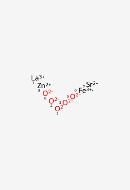 [Fe+3].[La+3].[O-2].[O-2].[O-2].[O-2].[O-2].[Sr+2].[Zn+2]